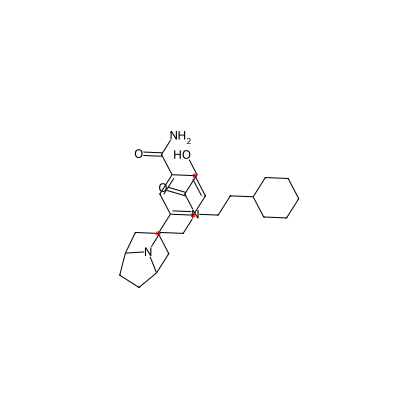 NC(=O)c1cccc(C2CC3CCC(C2)N3CCN(CCC2CCCCC2)C(=O)CO)c1